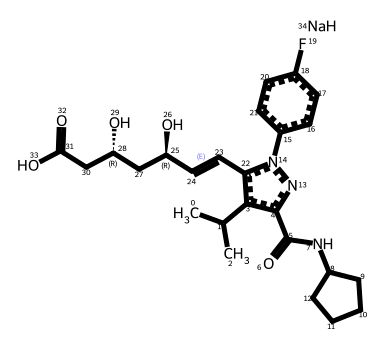 CC(C)c1c(C(=O)NC2CCCC2)nn(-c2ccc(F)cc2)c1/C=C/[C@H](O)C[C@@H](O)CC(=O)O.[NaH]